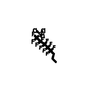 CCCC(F)(F)C(F)(F)C(F)(F)C(F)(F)C(F)(F)[Si](Cl)(Cl)Cl